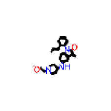 C=C1C(=O)N(c2ccccc2CCC)c2ccc(NC3CCN(CCOC)CC3)cc21